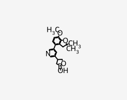 COc1ccc(-c2cncc(C3COB(O)C3)c2)c2c1OC(C)(C)C2